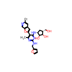 CCc1cc2cc(-c3c(C)nc(NCc4ccco4)nc3N[C@@H]3C[C@H](CO)[C@@H](O)[C@H]3O)oc2cn1